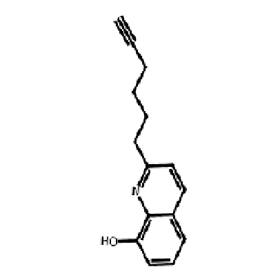 C#CCCCCc1ccc2cccc(O)c2n1